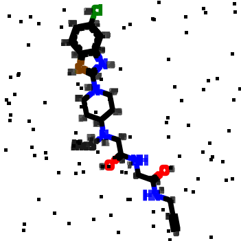 C#CCNC(=O)CNC(=O)CN(SC)C1CCN(c2nc3cc(Cl)ccc3s2)CC1